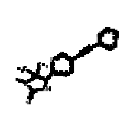 CCN1C(=O)NC(c2ccc(C#Cc3ccccc3)cn2)C1(C)C